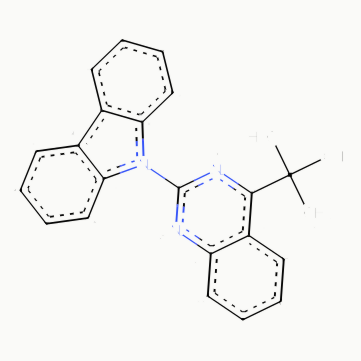 CC(C)(C)c1nc(-n2c3ccccc3c3ccccc32)nc2ccccc12